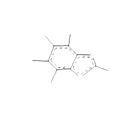 Cc1nc2c(F)c(F)c(F)c(F)c2s1